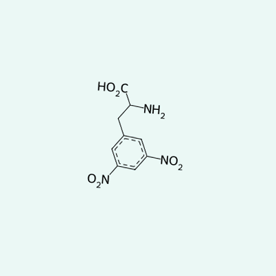 NC(Cc1cc([N+](=O)[O-])cc([N+](=O)[O-])c1)C(=O)O